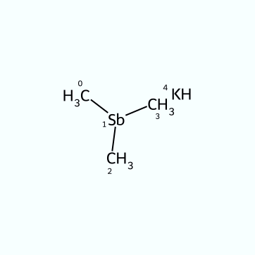 [CH3][Sb]([CH3])[CH3].[KH]